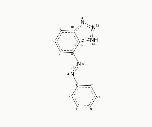 c1ccc(/N=N/c2cccc3nn[nH]c23)cc1